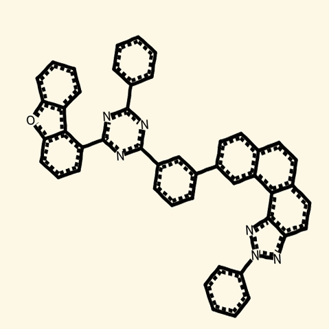 c1ccc(-c2nc(-c3cccc(-c4ccc5ccc6ccc7nn(-c8ccccc8)nc7c6c5c4)c3)nc(-c3cccc4oc5ccccc5c34)n2)cc1